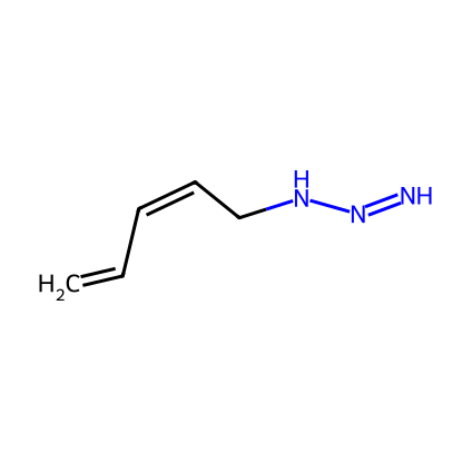 C=C/C=C\CNN=N